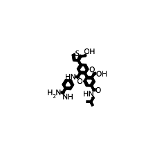 CC(C)CNC(=O)c1ccc(-c2ccc(-c3ccsc3CO)cc2C(=O)Nc2ccc(C(=N)N)cc2)c(C(=O)O)c1